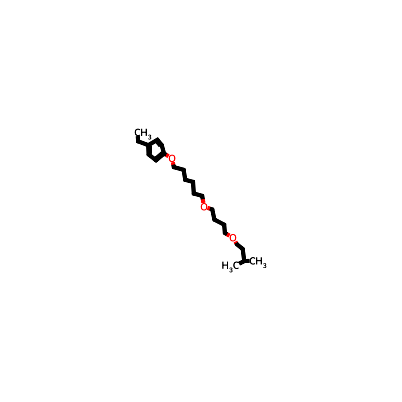 CCc1ccc(OCCCCCCOCCCCOCCC(C)C)cc1